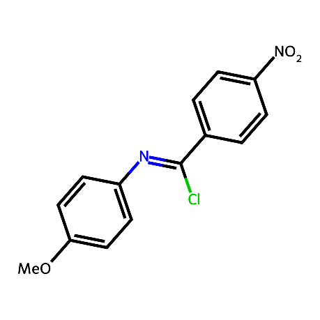 COc1ccc(N=C(Cl)c2ccc([N+](=O)[O-])cc2)cc1